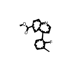 COC(=O)c1ccc2nccc(-c3cccc(C)c3F)c2c1